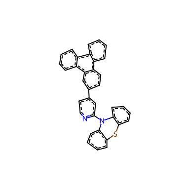 c1ccc2c(c1)Sc1ccccc1N2c1cc(-c2ccc3c4ccccc4c4ccccc4c3c2)ccn1